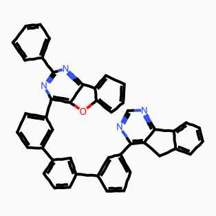 c1ccc(-c2nc(-c3cccc(-c4cccc(-c5cccc(-c6ncnc7c6Cc6ccccc6-7)c5)c4)c3)c3oc4ccccc4c3n2)cc1